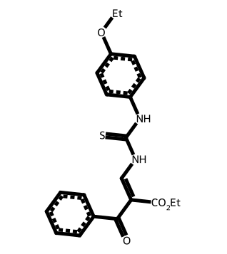 CCOC(=O)/C(=C\NC(=S)Nc1ccc(OCC)cc1)C(=O)c1ccccc1